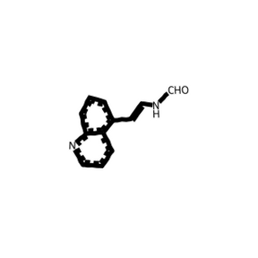 O=CNC=Cc1cccc2ncccc12